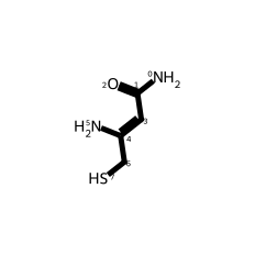 NC(=O)/C=C(\N)CS